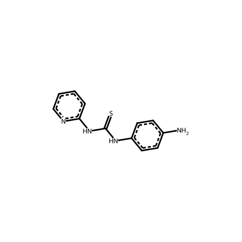 Nc1ccc(NC(=S)Nc2ccccn2)cc1